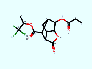 CCC(=O)OC1C2CC3C1OC(=O)C3C2C(=O)OC(C)C(F)(F)F